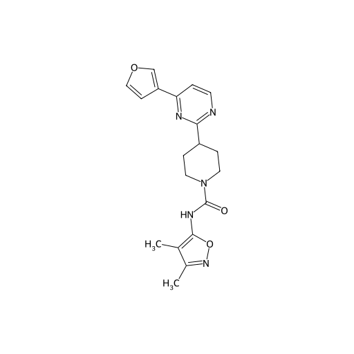 Cc1noc(NC(=O)N2CCC(c3nccc(-c4ccoc4)n3)CC2)c1C